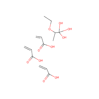 C=CC(=O)O.C=CC(=O)O.C=CC(=O)O.CCOC(C)C(O)(O)O